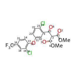 COC(=O)C(C(=O)OC)C(=O)c1cc(Oc2ccc(C(F)(F)F)cc2Cl)ccc1Cl